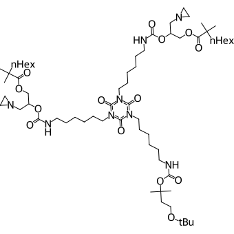 CCCCCCC(C)(C)C(=O)OCC(CN1CC1)OC(=O)NCCCCCCn1c(=O)n(CCCCCCNC(=O)OC(COC(=O)C(C)(C)CCCCCC)CN2CC2)c(=O)n(CCCCCCNC(=O)OC(C)(C)CCOC(C)(C)C)c1=O